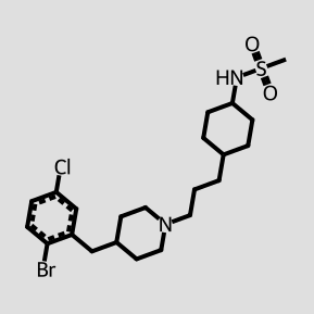 CS(=O)(=O)NC1CCC(CCCN2CCC(Cc3cc(Cl)ccc3Br)CC2)CC1